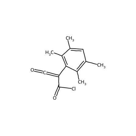 Cc1cc(C)c(C)c(C(=C=O)C(=O)Cl)c1C